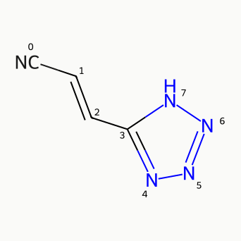 N#CC=Cc1nnn[nH]1